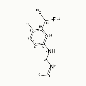 C/C=N\CNc1ccc(C)c(C(F)F)c1